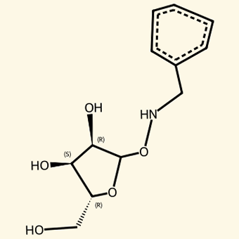 OC[C@H]1OC(ONCc2ccccc2)[C@H](O)[C@@H]1O